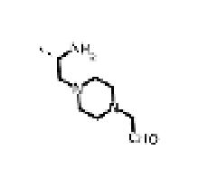 C[C@H](N)CN1CCN(CC=O)CC1